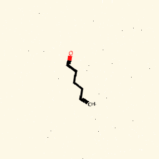 [CH]=CCCC[C]=O